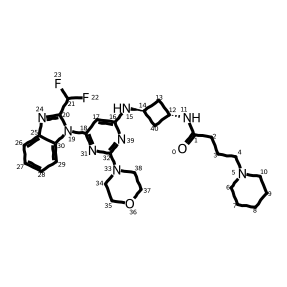 O=C(CCCN1CCCCC1)N[C@H]1C[C@H](Nc2cc(-n3c(C(F)F)nc4ccccc43)nc(N3CCOCC3)n2)C1